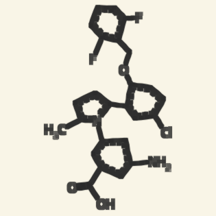 Cc1ccc(-c2cc(Cl)ccc2OCc2c(F)cccc2F)n1-c1cc(N)cc(C(=O)O)c1